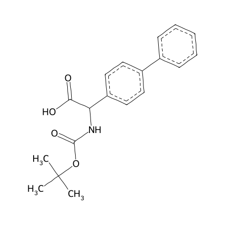 CC(C)(C)OC(=O)NC(C(=O)O)c1ccc(-c2ccccc2)cc1